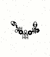 O=C(Nc1ccc(C(=O)NCCN2CCOCC2)cc1)Nc1ccc(-c2nc(N3CCOCC3)c3cccn3n2)cc1